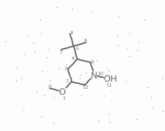 COC1CC(C(C)(C)C)CN(O)C1